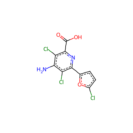 Nc1c(Cl)c(C(=O)O)nc(-c2ccc(Cl)o2)c1Cl